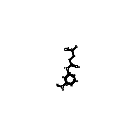 [CH2]C(Cl)CCC(=O)Oc1cccc(OC)c1